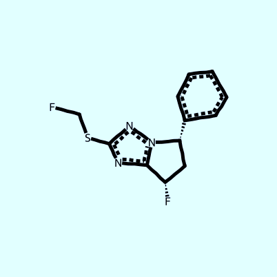 FCSc1nc2n(n1)[C@H](c1ccccc1)C[C@@H]2F